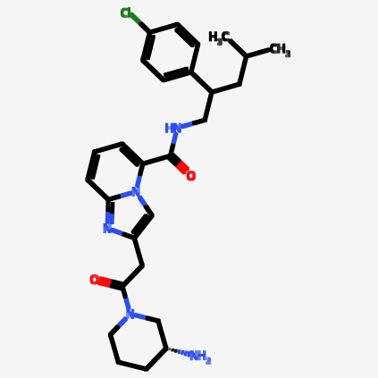 CC(C)CC(CNC(=O)c1cccc2nc(CC(=O)N3CCC[C@@H](N)C3)cn12)c1ccc(Cl)cc1